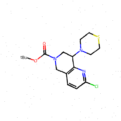 CC(C)(C)OC(=O)N1Cc2ccc(Cl)nc2C(N2CCSCC2)C1